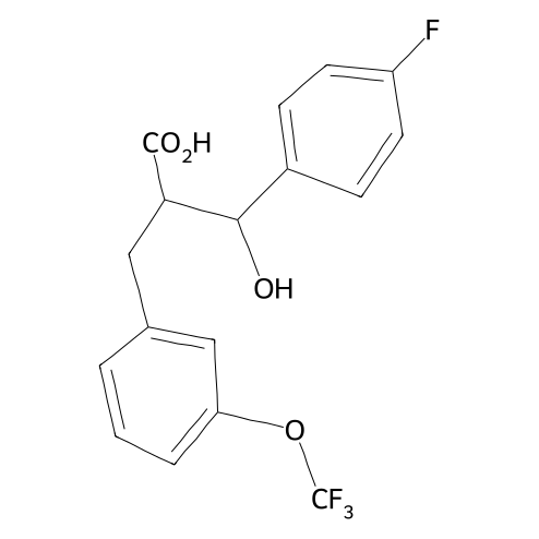 O=C(O)C(Cc1cccc(OC(F)(F)F)c1)C(O)c1ccc(F)cc1